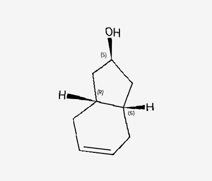 O[C@@H]1C[C@H]2CC=CC[C@H]2C1